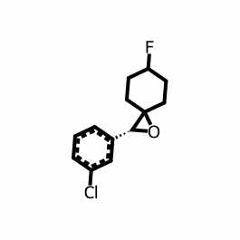 FC1CCC2(CC1)O[C@@H]2c1cccc(Cl)c1